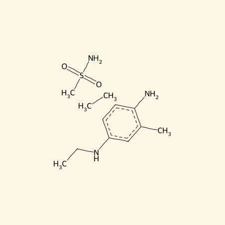 CC.CCNc1ccc(N)c(C)c1.CS(N)(=O)=O